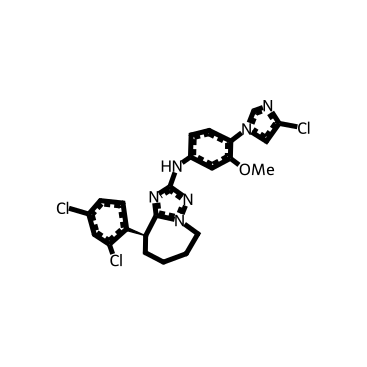 COc1cc(Nc2nc3n(n2)CCCC[C@H]3c2ccc(Cl)cc2Cl)ccc1-n1cnc(Cl)c1